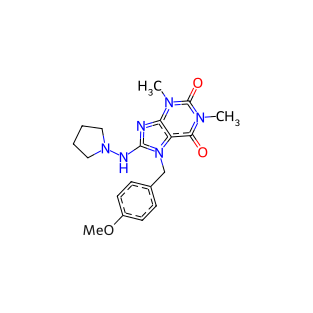 COc1ccc(Cn2c(NN3CCCC3)nc3c2c(=O)n(C)c(=O)n3C)cc1